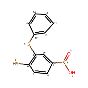 O=S(O)c1ccc(S)c(Sc2ccccc2)c1